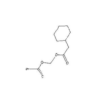 CC(C)C(=O)OCOC(=O)CC1CCCCC1